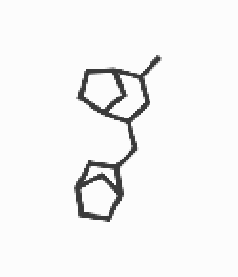 CC1CC(CC2CC3CCC2C3)C2CCC1C2